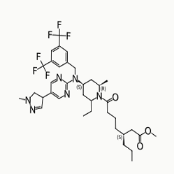 CCC[C@@H](CCCC(=O)N1C(CC)C[C@@H](N(Cc2cc(C(F)(F)F)cc(C(F)(F)F)c2)c2ncc(C3C=NN(C)C3)cn2)C[C@H]1C)CC(=O)OC